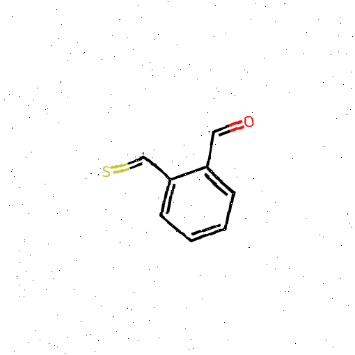 O=[C]c1ccccc1[C]=S